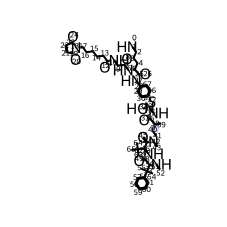 CNCCCC(NC(=O)CNC(=O)CCCCCN1C(=O)C=CC1=O)C(=O)Nc1ccc(SN(O)NC(=O)/C(C)=C/CN(C)C(=O)C(NC(=O)C(NC)C(C)(C)c2ccccc2)C(C)(C)C)cc1